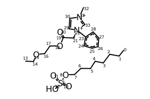 CCCCCCCCOS(=O)(=O)O.CCOCCOC(=O)C[N@@+]1(c2ccccc2)C=C[N+](C)=C1